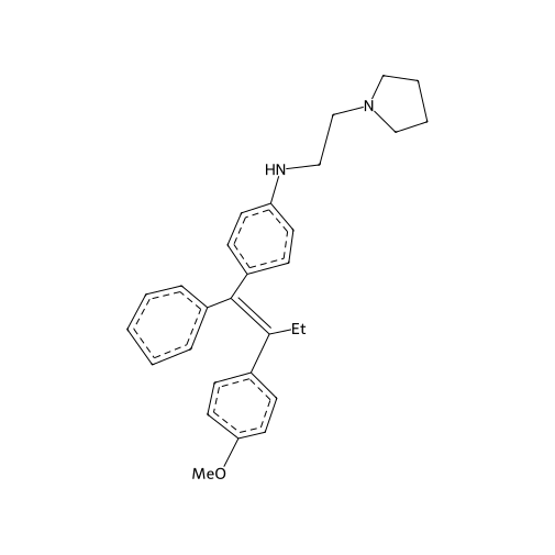 CCC(=C(c1ccccc1)c1ccc(NCCN2CCCC2)cc1)c1ccc(OC)cc1